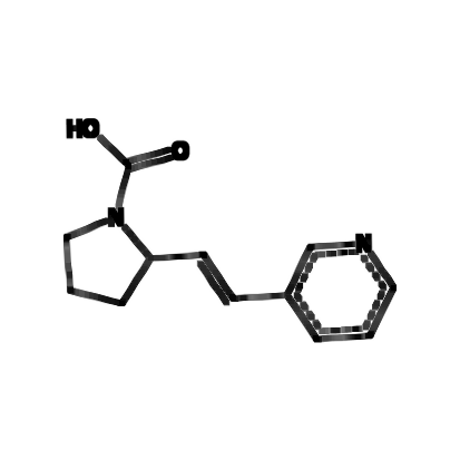 O=C(O)N1CCCC1C=Cc1cccnc1